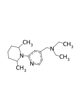 CCN(CC)Cc1ccnc(N2C(C)CCCC2C)c1